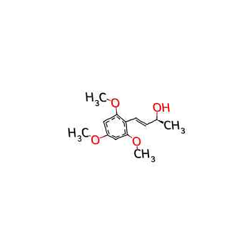 COc1cc(OC)c(/C=C/[C@H](C)O)c(OC)c1